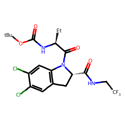 CC[C@H](NC(=O)OC(C)(C)C)C(=O)N1c2cc(Cl)c(Cl)cc2C[C@H]1C(=O)NCC(F)(F)F